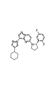 Fc1ccc(F)c([C@H]2CCCN2c2ccn3ncc(-n4cc(C5CCCCC5)cn4)c3n2)c1